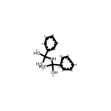 CC(O)(NC(C)(O)c1ccccc1)c1ccccc1